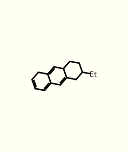 CCC1CCC2C=C3CC=CC=C3C=C2C1